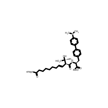 CCCCCCCC(=O)CCCCCC/C=C/[C@H](C(=O)N[C@@H](Cc1ccc(-c2ccc(N(C)C)cc2)cc1)C(=O)OC)[C@@](O)(CCC)C(=O)O